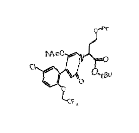 COc1cn(C(CCOC(C)C)C(=O)OC(C)(C)C)c(=O)cc1-c1cc(Cl)ccc1OCC(F)(F)F